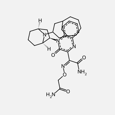 NC(=O)CO/N=C(\C(N)=O)c1nc2ccccc2n([C@@H]2C[C@@H]3CCC[C@H]2N3C2CC3CCCCC(C3)C2)c1=O